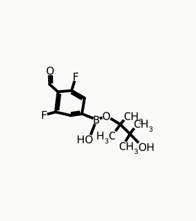 CC(C)(O)C(C)(C)OB(O)c1cc(F)c(C=O)c(F)c1